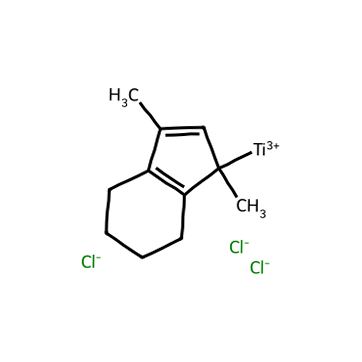 CC1=C[C](C)([Ti+3])C2=C1CCCC2.[Cl-].[Cl-].[Cl-]